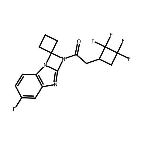 O=C(CC1CC(F)(F)C1(F)F)N1c2nc3cc(F)ccc3n2C12CCC2